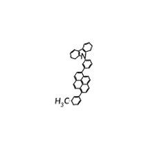 C[C@@H]1C=C(c2ccc3ccc4c(-c5cccc(-n6c7c(c8c6CCC=C8)C=CCC7)c5)ccc5ccc2c3c54)C=CC1